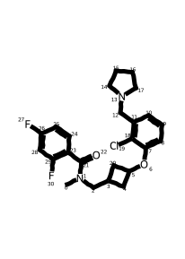 CN(CC1CC(Oc2cccc(CN3CCCC3)c2Cl)C1)C(=O)c1ccc(F)cc1F